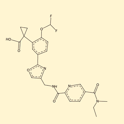 CCN(C)C(=O)c1ccc(C(=O)NCc2coc(-c3ccc(OC(F)F)c(C4(C(=O)O)CC4)c3)n2)nc1